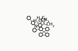 C=CC1=C(/C=C\C)C(C)(C)c2cc(N(c3ccc(-c4ccccc4)cc3)c3ccccc3-c3ccc4c(c3)C3(c5ccccc5-c5ccccc53)c3ccccc3-4)ccc21